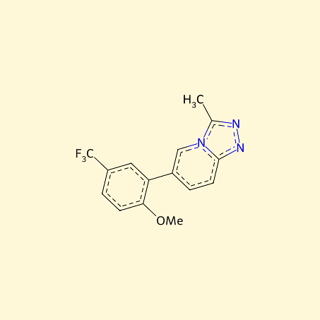 COc1ccc(C(F)(F)F)cc1-c1ccc2nnc(C)n2c1